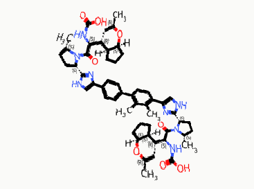 Cc1c(-c2ccc(-c3c[nH]c([C@@H]4CC[C@H](C)N4C(=O)[C@@H](NC(=O)O)[C@@H]4C[C@@H](C)O[C@H]5CCC[C@@H]45)n3)cc2)ccc(-c2c[nH]c([C@@H]3CC[C@H](C)N3C(=O)[C@@H](NC(=O)O)[C@@H]3C[C@@H](C)O[C@H]4CCC[C@@H]34)n2)c1C